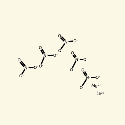 O=[N+]([O-])[O-].O=[N+]([O-])[O-].O=[N+]([O-])[O-].O=[N+]([O-])[O-].O=[N+]([O-])[O-].[La+3].[Mg+2]